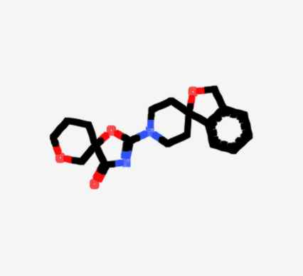 O=C1N=C(N2CCC3(CC2)OCc2ccccc23)OC12CCCOC2